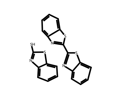 Sc1nc2ccccc2s1.c1ccc2sc(-c3nc4ccccc4s3)nc2c1